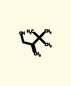 C=C(CO)C(C)(C)C